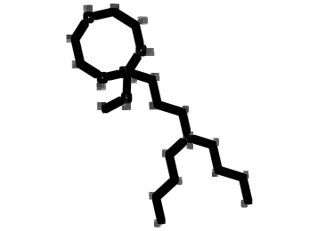 CCCCN(CCCC)CCC[Si]1(OC)OCCOCCO1